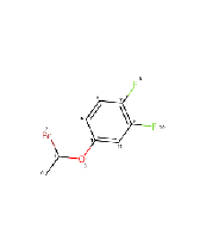 CC(Br)Oc1ccc(F)c(F)c1